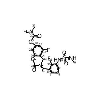 CNS(=O)(=O)Nc1cccc(CN2Cc3c(F)cc(OC(=O)N(C)C)cc3OC2=O)c1F